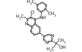 Cc1ccc(C)c(Nc2c(Cl)c(C)nc3ccc(-c4cnc(C(C)(C)O)nc4)cc23)c1